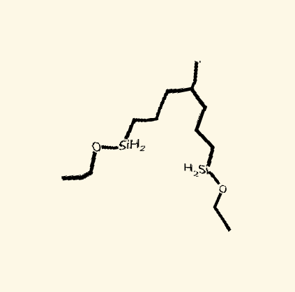 [CH2]C(CCC[SiH2]OCC)CCC[SiH2]OCC